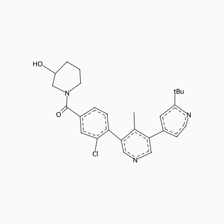 Cc1c(-c2ccnc(C(C)(C)C)c2)cncc1-c1ccc(C(=O)N2CCCC(O)C2)cc1Cl